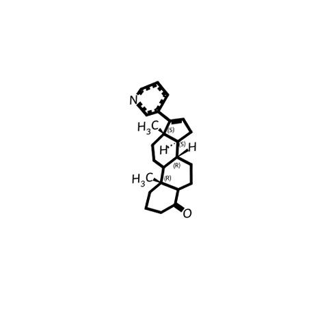 C[C@]12CCCC(=O)C1CC[C@@H]1C2CC[C@]2(C)C(c3cccnc3)=CC[C@@H]12